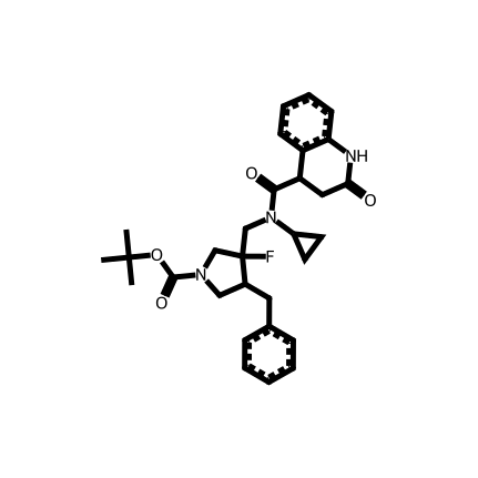 CC(C)(C)OC(=O)N1CC(Cc2ccccc2)C(F)(CN(C(=O)C2CC(=O)Nc3ccccc32)C2CC2)C1